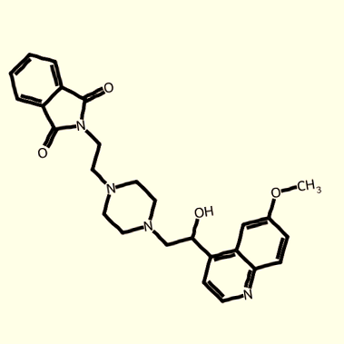 COc1ccc2nccc(C(O)CN3CCN(CCN4C(=O)c5ccccc5C4=O)CC3)c2c1